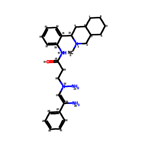 N#CN1CC2CCCCC2CC1c1ccccc1NC(=O)CCN(N)/C=C(\N)c1ccccc1